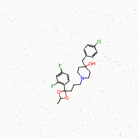 CC1OC(CCCN2CCC(O)(Cc3ccc(Cl)cc3)CC2)(c2ccc(F)cc2F)O1